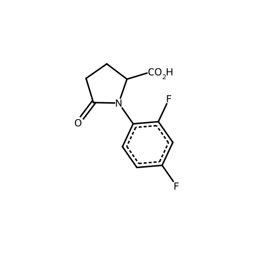 O=C(O)C1CCC(=O)N1c1ccc(F)cc1F